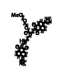 COCCOCCOCC(=O)N(CCCNCCN1C(=O)c2cccc3c(-n4ccnc4)ccc(c23)C1=O)CCN1C(=O)c2cccc3c(-n4ccnc4)ccc(c23)C1=O